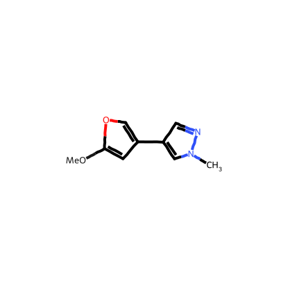 COc1cc(-c2cnn(C)c2)co1